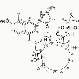 COc1ccc2c(C[C@@H]3C[C@H]4C(=O)N[C@]5(C(=O)NS(=O)(=O)C6(C)CC6)C[C@H]5/C=C\CCCCN(C)C(=O)[C@@H]4C3)cc(-c3nc(C(C)C)cs3)nc2c1C